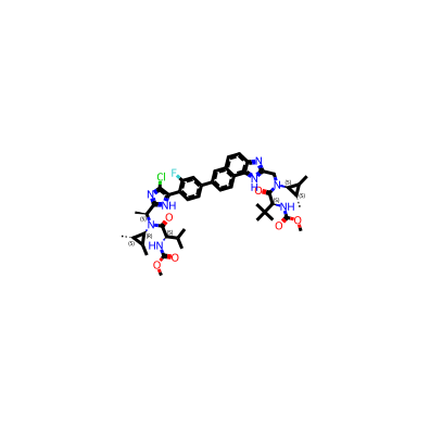 COC(=O)N[C@H](C(=O)N([C@@H]1C(C)[C@@H]1C)[C@@H](C)c1nc(Cl)c(-c2ccc(-c3ccc4c(ccc5nc(CN(C(=O)[C@@H](NC(=O)OC)C(C)(C)C)[C@H]6C(C)[C@@H]6C)[nH]c54)c3)cc2F)[nH]1)C(C)C